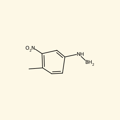 BNc1ccc(C)c([N+](=O)[O-])c1